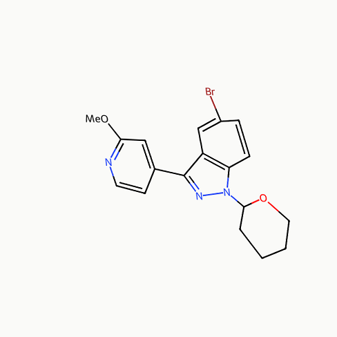 COc1cc(-c2nn(C3CCCCO3)c3ccc(Br)cc23)ccn1